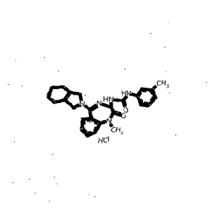 Cc1cccc(NC(=O)NC2N=C(N3CC4CCCCC4C3)c3ccccc3N(C)C2=O)c1.Cl